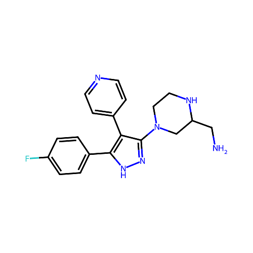 NCC1CN(c2n[nH]c(-c3ccc(F)cc3)c2-c2ccncc2)CCN1